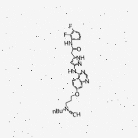 C#CN(CCCC)CCCOc1ccc2c(Nc3cc(CC(=O)Nc4cccc(F)c4F)[nH]n3)ncnc2c1